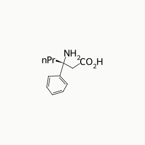 CCC[C@@](N)(CC(=O)O)c1ccccc1